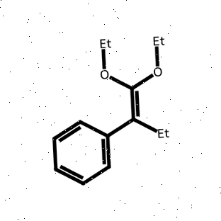 CCOC(OCC)=C(CC)c1ccccc1